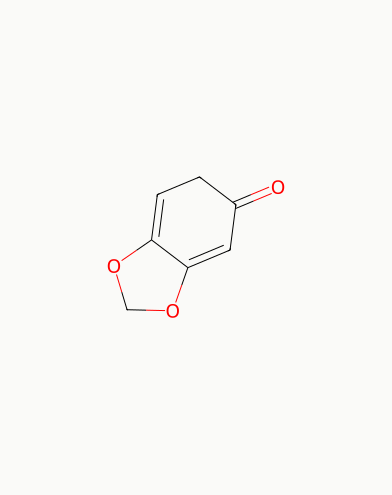 O=C1C=C2OCOC2=CC1